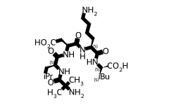 CC[C@H](C)[C@H](NC(=O)[C@H](CCCCN)NC(=O)[C@H](CC(=O)O)NC(=O)[C@H](CC(C)C)NC(=O)C(C)(C)N)C(=O)O